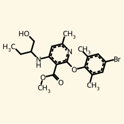 CCC(CO)Nc1cc(C)nc(Oc2c(C)cc(Br)cc2C)c1C(=O)OC